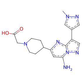 Cn1cc(-c2cnn3c(N)cc(C4CCN(CC(=O)O)CC4)nc23)cn1